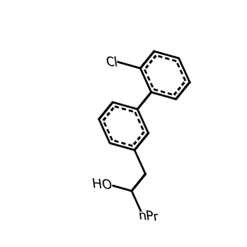 CCCC(O)Cc1cccc(-c2ccccc2Cl)c1